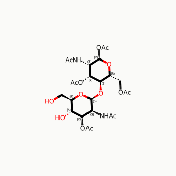 CC(=O)N[C@@H]1[C@@H](OC(C)=O)O[C@H](COC(C)=O)[C@@H](O[C@@H]2O[C@H](CO)[C@@H](O)[C@H](OC(C)=O)[C@@H]2NC(C)=O)[C@@H]1OC(C)=O